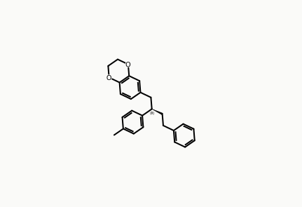 Cc1ccc([C@H](CCc2ccccc2)Cc2ccc3c(c2)OCCO3)cc1